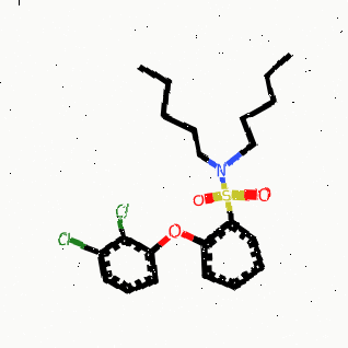 CCCCCN(CCCCC)S(=O)(=O)c1ccccc1Oc1cccc(Cl)c1Cl